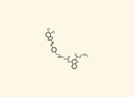 CCOC(=O)c1cc(OC(=O)CCNCCc2ccc(N=Nc3nc4ccc(Cl)c(Cl)c4s3)cc2)c2ccccc2n1